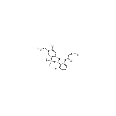 CCC(=O)Oc1cccc(F)c1COc1cc(Cl)c(CC)cc1C(F)(F)F